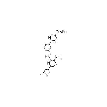 CCCCOc1cnc(-c2cccc(CNc3nc(-c4cnn(C)c4)cnc3N)c2)nc1